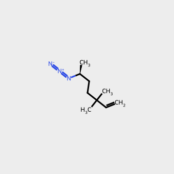 C=CC(C)(C)CC[C@H](C)N=[N+]=[N-]